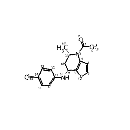 CC(=O)N1c2ccsc2[C@H](Nc2ccc(Cl)cc2)C[C@@H]1C